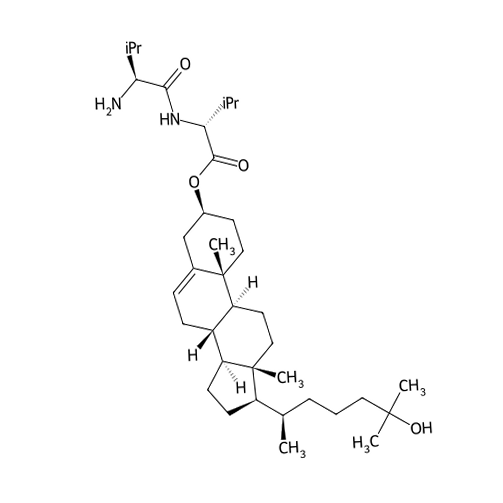 CC(C)[C@H](N)C(=O)N[C@@H](C(=O)O[C@H]1CC[C@@]2(C)C(=CC[C@H]3[C@@H]4CC[C@H]([C@H](C)CCCC(C)(C)O)[C@@]4(C)CC[C@@H]32)C1)C(C)C